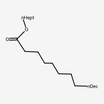 CCCCCCCCCCCCCCCCCC(=O)OCCCCCCC